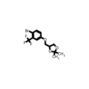 CC1(C)OCC(COc2ccc(Br)c(C(F)(F)F)c2)O1